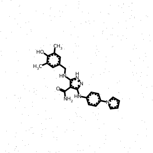 Cc1cc(CNc2[nH]nc(Nc3ccc(-n4cccc4)cc3)c2C(N)=O)cc(C)c1O